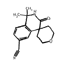 CC1(C)NC(=O)C2(CCOCC2)c2cc(C#N)ccc21